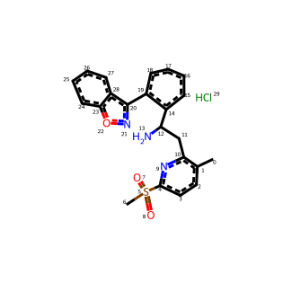 Cc1ccc(S(C)(=O)=O)nc1CC(N)c1ccccc1-c1noc2ccccc12.Cl